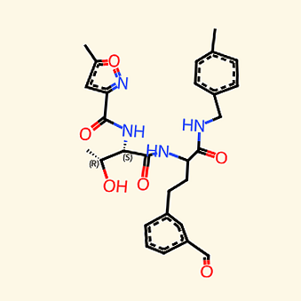 Cc1ccc(CNC(=O)C(CCc2cccc(C=O)c2)NC(=O)[C@@H](NC(=O)c2cc(C)on2)[C@@H](C)O)cc1